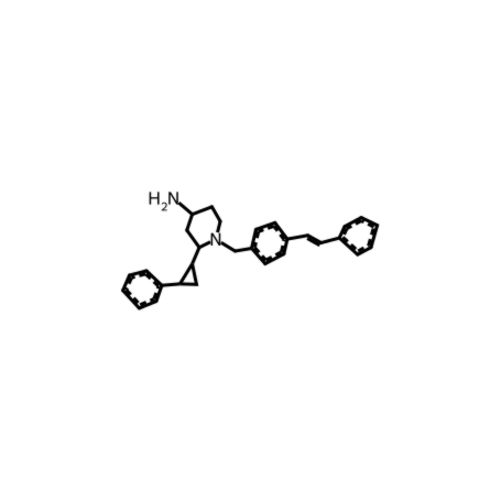 NC1CCN(Cc2ccc(/C=C/c3ccccc3)cc2)C(C2CC2c2ccccc2)C1